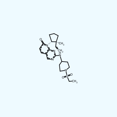 C=C[C@]1(C)CCC[C@H]1n1c(=O)ccc2cnc(NC3CCN(S(=O)(=O)CC)CC3)nc21